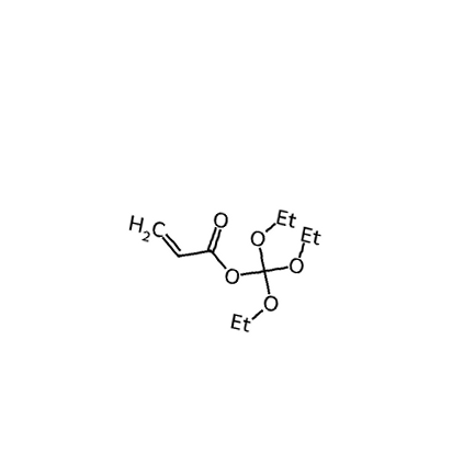 C=CC(=O)OC(OCC)(OCC)OCC